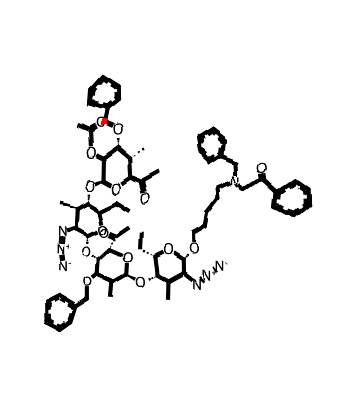 CCC1O[C@H](O[C@H]2C(OCc3ccccc3)C(C)[C@H](O[C@H]3C(C)C(N=[N+]=[N-])[C@@H](OCCCCCN(CC(=O)c4ccccc4)Cc4ccccc4)O[C@H]3CC)O[C@H]2C(C)=O)C(N=[N+]=[N-])[C@@H](C)[C@@H]1O[C@@H]1OC(C(C)=O)[C@@H](C)[C@@H](OCc2ccccc2)C1OC(C)=O